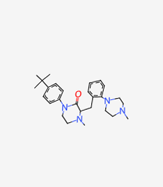 CN1CCN(c2ccccc2CC2C(=O)N(c3ccc(C(C)(C)C)cc3)CCN2C)CC1